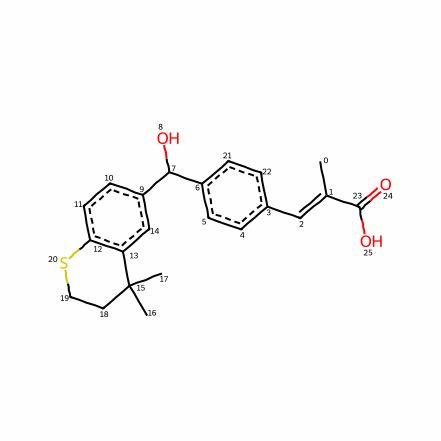 C/C(=C\c1ccc(C(O)c2ccc3c(c2)C(C)(C)CCS3)cc1)C(=O)O